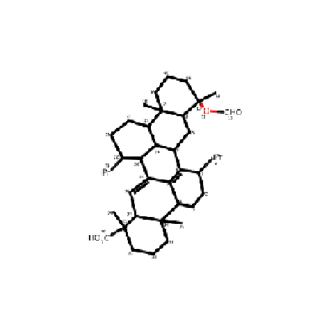 CC(C)C1CCC2C3=C1C1CC4C(C)(OC=O)CCCC4(C)C4CCC(C(C)C)C(C3=CC3C(C)(C(=O)O)CCCC23C)C14